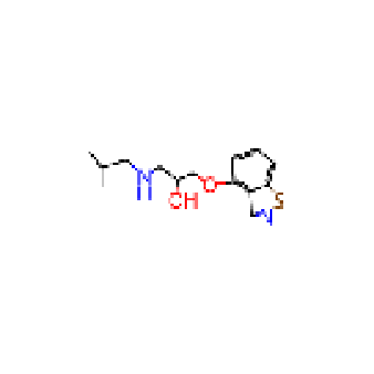 CC(C)CNCC(O)COc1cccc2sncc12